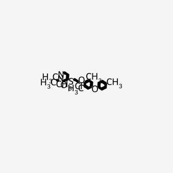 Cc1ccc(Oc2cc(C)c(OC(Cl)CSc3ccnn(C(C)(C)C)c3=O)c(C)c2)cc1